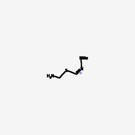 CN/N=C\SCN